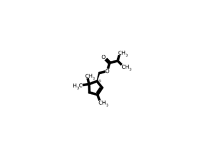 CC1=C[C@H](COC(=O)C(C)C)C(C)(C)C1